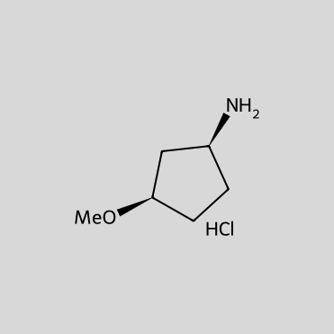 CO[C@@H]1CC[C@H](N)C1.Cl